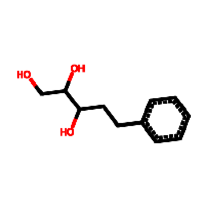 OCC(O)C(O)CCc1ccccc1